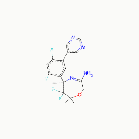 CC1(C)OCC(N)=N[C@](C)(c2cc(-c3cncnc3)c(F)cc2F)C1(F)F